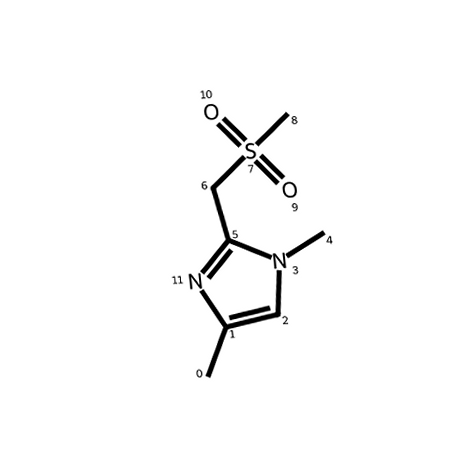 Cc1cn(C)c(CS(C)(=O)=O)n1